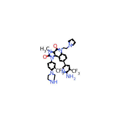 Cn1c(=O)n(-c2ccc(N3CCNCC3)c(C(F)(F)F)c2)c2c3cc(-c4cnc(N)c(C(F)(F)F)c4)ccc3n(CCn3cccc3)c(=O)c21